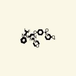 COC1CCCN(C(=O)[C@H]2CC[C@H](Oc3cc(-n4c(C(F)I)nc5ccccc54)nc(N4CCOCC4)n3)CC2)C1